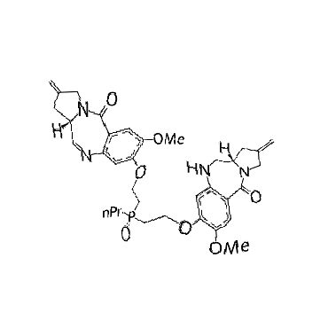 C=C1C[C@H]2CNc3cc(OCCP(=O)(CCC)CCOc4cc5c(cc4OC)C(=O)N4CC(=C)C[C@H]4C=N5)c(OC)cc3C(=O)N2C1